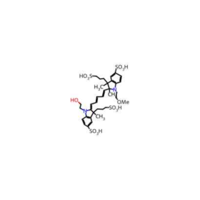 COCCN1c2ccc(S(=O)(=O)O)cc2C(C)(CCCS(=O)(=O)O)C1(C)/C=C/C=C/C=C1/N(CCO)c2ccc(S(=O)(=O)O)cc2C1(C)CCCS(=O)(=O)O